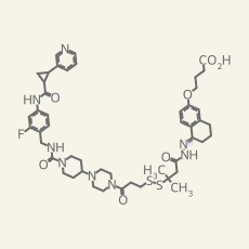 CC(C)(CC(=O)N/N=C1\CCCc2cc(OCCCC(=O)O)ccc21)SSCCC(=O)N1CCN(C2CCN(C(=O)NCc3ccc(NC(=O)C4CC4c4cccnc4)cc3F)CC2)CC1